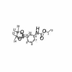 CCOC(=O)Nc1cccc(B2OC(C)(C)C(C)(C)O2)c1